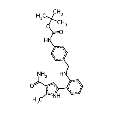 Cc1[nH]c(-c2ccccc2NCc2ccc(NC(=O)OC(C)(C)C)cc2)cc1C(N)=O